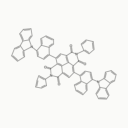 O=C1c2cc(-c3ccc(-n4c5ccccc5c5ccccc54)c4ccccc34)c3c4c(cc(-c5ccc(-n6c7ccccc7c7ccccc76)c6ccccc56)c(c24)C(=O)N1c1ccccc1)C(=O)N(c1ccccc1)C3=O